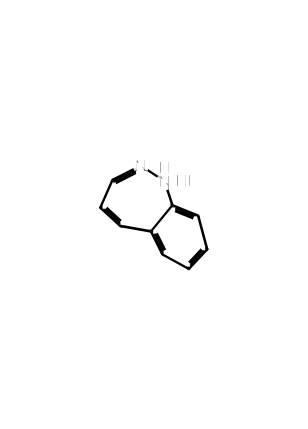 C1=Cc2ccccc2NN=C1.I